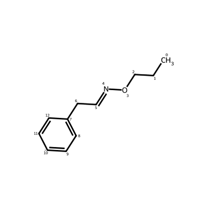 CCCON=CCc1cc[c]cc1